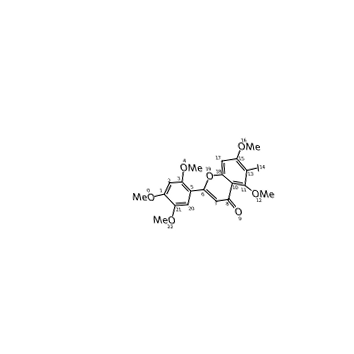 COc1cc(OC)c(-c2cc(=O)c3c(OC)c(I)c(OC)cc3o2)cc1OC